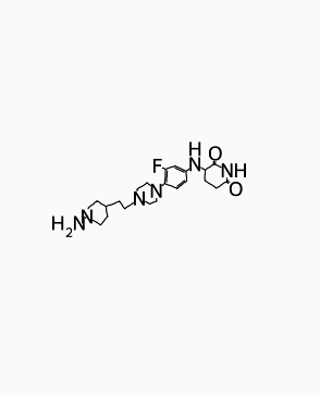 NN1CCC(CCN2CCN(c3ccc(NC4CCC(=O)NC4=O)cc3F)CC2)CC1